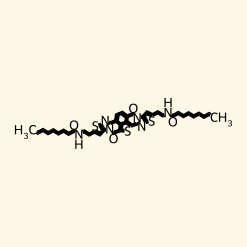 CCCCCCCCC(=O)NCCc1cc2c(nc3c4ccc5c(=O)n6c7cc(CCNC(=O)CCCCCCCC)sc7nc6c6sc(c(=O)n23)c4c56)s1